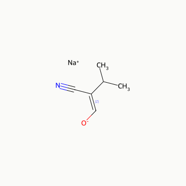 CC(C)/C(C#N)=C/[O-].[Na+]